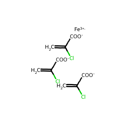 C=C(Cl)C(=O)[O-].C=C(Cl)C(=O)[O-].C=C(Cl)C(=O)[O-].[Fe+3]